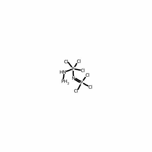 PNP(Cl)(Cl)(Cl)N=P(Cl)(Cl)Cl